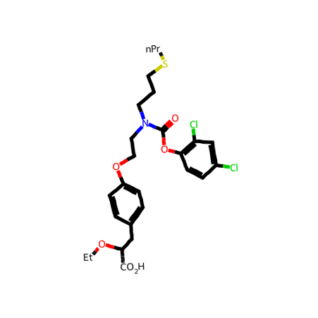 CCCSCCCN(CCOc1ccc(CC(OCC)C(=O)O)cc1)C(=O)Oc1ccc(Cl)cc1Cl